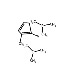 CP(C)C.CP(C)C.ClC1=[C]([V])CC=C1